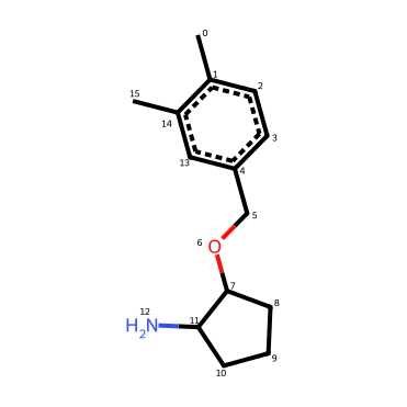 Cc1ccc(COC2CCCC2N)cc1C